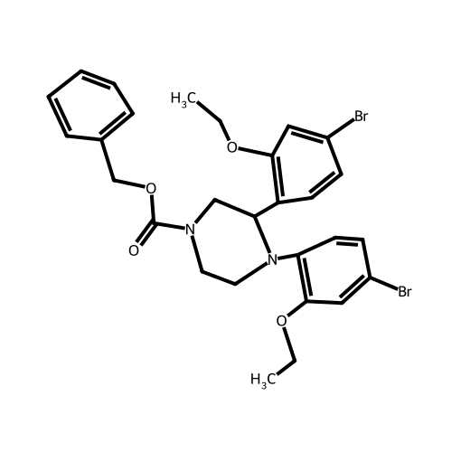 CCOc1cc(Br)ccc1C1CN(C(=O)OCc2ccccc2)CCN1c1ccc(Br)cc1OCC